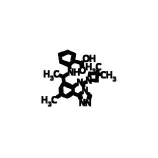 Cc1cc(C(C)Nc2ccccc2C(=O)O)c2nc(N3CC(C)(C)C3)n3cnnc3c2c1